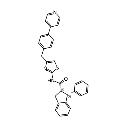 O=C(Nc1nc(Cc2ccc(-c3ccncc3)cc2)cs1)[C@H]1Cc2ccccc2[C@H]1c1ccccc1